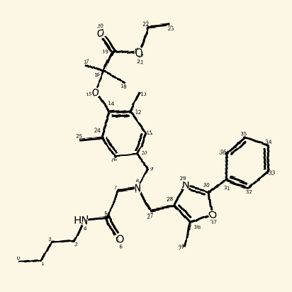 CCCCNC(=O)CN(Cc1cc(C)c(OC(C)(C)C(=O)OCC)c(C)c1)Cc1nc(-c2ccccc2)oc1C